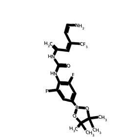 C=C(/C=C(\C=C/N)C(F)(F)F)NC(=O)Nc1c(F)cc(B2OC(C)(C)C(C)(C)O2)cc1F